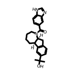 CC(C)(O)c1ccc2c(c1)[C@H]1CCCCN(C(=O)c3ccc4[nH]cnc4c3)[C@H]1C2